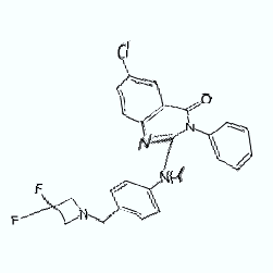 O=c1c2cc(Cl)ccc2nc(Nc2ccc(CN3CC(F)(F)C3)cc2)n1-c1ccccc1